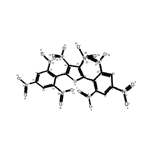 O=[N+]([O-])c1cc([N+](=O)[O-])c(-c2oc(-c3c([N+](=O)[O-])cc([N+](=O)[O-])cc3[N+](=O)[O-])c([N+](=O)[O-])c2[N+](=O)[O-])c([N+](=O)[O-])c1